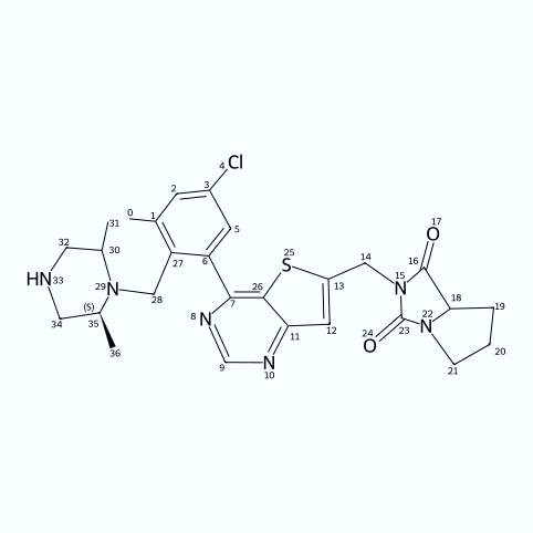 Cc1cc(Cl)cc(-c2ncnc3cc(CN4C(=O)C5CCCN5C4=O)sc23)c1CN1C(C)CNC[C@@H]1C